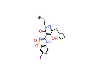 CC(C)CCn1nc(CC2CCCC2)c(O)c(C2=NS(=O)(=O)c3cc(I)ccc3N2)c1=O